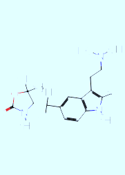 [2H]c1c(CCN(C)C)c2cc(C([2H])([2H])[C@@H]3N([2H])C(=O)OC3([2H])[2H])ccc2n1[2H]